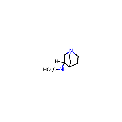 O=C(O)N[C@@H]1CN2CCC1CC2